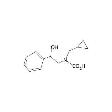 O=C(O)N(CC1CC1)C[C@@H](O)c1ccccc1